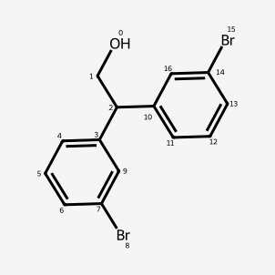 OCC(c1cccc(Br)c1)c1cccc(Br)c1